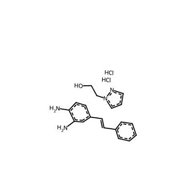 Cl.Cl.Nc1ccc(C=Cc2ccccc2)cc1N.OCCn1cccn1